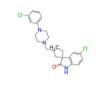 CCC1(CCCN2CCN(c3cccc(Cl)c3)CC2)C(=O)Nc2ccc(Cl)cc21